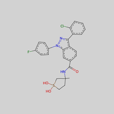 CC1(NC(=O)c2ccc3c(-c4ccccc4Cl)nn(-c4ccc(F)cc4)c3c2)CCS(O)(O)C1